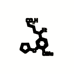 CCC(CCCC(=O)O)c1ccc(OC)c(OC2CCCC2)c1